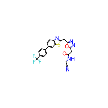 N#CCNC(=O)Cc1nnc(Cc2nc3ccc(-c4ccc(C(F)(F)F)cc4)cc3s2)o1